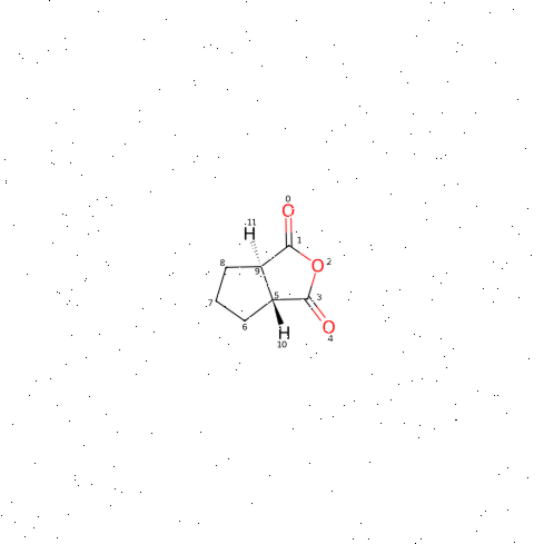 O=C1OC(=O)[C@@H]2CCC[C@@H]12